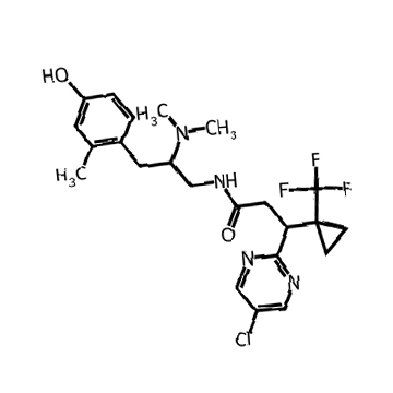 Cc1cc(O)ccc1CC(CNC(=O)CC(c1ncc(Cl)cn1)C1(C(F)(F)F)CC1)N(C)C